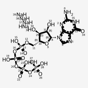 Nc1nc2c(ncn2[C@@H]2O[C@H](COP(=O)(O)OP(=O)(O)OP(=O)(O)OP(=O)(O)O)[C@@H](O)[C@H]2O)c(=O)[nH]1.[NaH].[NaH].[NaH].[NaH]